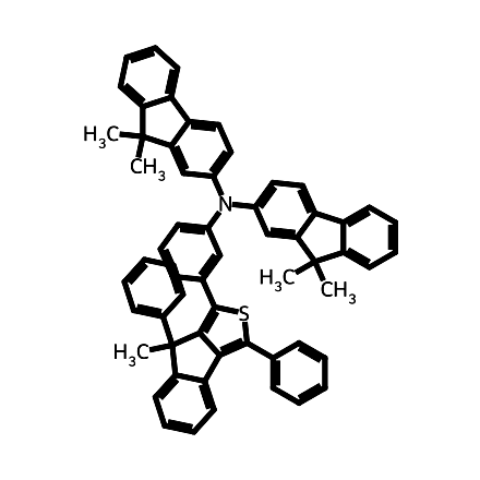 CC1(C)c2ccccc2-c2ccc(N(c3cccc(-c4sc(-c5ccccc5)c5c4C(C)(c4ccccc4)c4ccccc4-5)c3)c3ccc4c(c3)C(C)(C)c3ccccc3-4)cc21